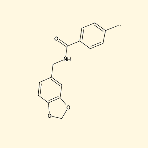 [CH2]c1ccc(C(=O)NCc2ccc3c(c2)OCO3)cc1